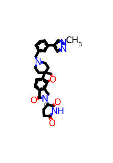 Cn1cc(-c2cccc(CN3CCC4(CC3)COc3c4ccc4c3CN([C@H]3CCC(=O)NC3=O)C4=O)c2)cn1